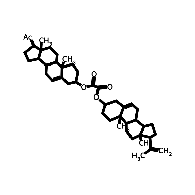 C=C(C)C1CCC2C3CC=C4CC(OC(=O)C(=O)OC5CCC6(C)C(=CCC7C6CCC6(C)C(C(C)=O)CCC76)C5)CCC4(C)C3CCC12C